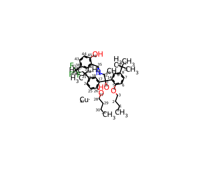 CCCCOc1ccc(C(C)(C)C)cc1C(O)(c1cc(C(C)(C)C)ccc1OCCCC)[C@@H](C)N=Cc1cc(C(F)(F)F)ccc1O.[Cu]